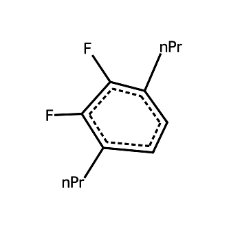 CCCc1ccc(CCC)c(F)c1F